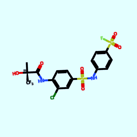 C[C@@](O)(C(=O)Nc1ccc(S(=O)(=O)Nc2ccc(S(=O)(=O)F)cc2)cc1Cl)C(F)(F)F